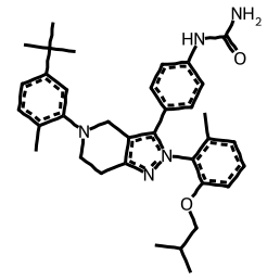 Cc1ccc(C(C)(C)C)cc1N1CCc2nn(-c3c(C)cccc3OCC(C)C)c(-c3ccc(NC(N)=O)cc3)c2C1